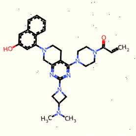 C=CC(=O)N1CCN(c2nc(N3CC(N(C)C)C3)nc3c2CCN(c2cc(O)cc4ccccc24)C3)CC1